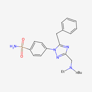 CCCCN(CC)Cc1nc(Cc2ccccc2)n(-c2ccc(S(N)(=O)=O)cc2)n1